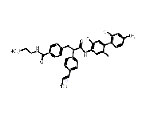 Cc1cc(NC(=O)C(Cc2ccc(C(=O)NCCS(=O)(=O)O)cc2)c2ccc(/C=C/C(C)(C)C)cc2)c(F)cc1-c1ccc(C(F)(F)F)cc1Cl